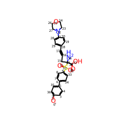 COc1ccc(-c2ccc(S(=O)(=O)C(N)(CC#Cc3ccc(N4CCOCC4)cc3)C(=O)O)cc2)cc1